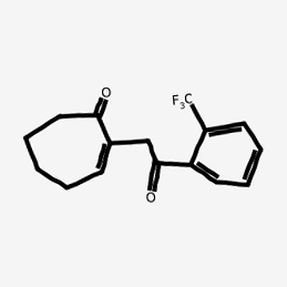 O=C1CCCCC=C1CC(=O)c1ccccc1C(F)(F)F